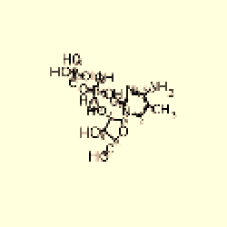 Cc1cn([C@@H]2O[C@H](CO)[C@@H](O)[C@H]2O)c(=O)nc1N.O=P(O)(O)O.O=P(O)(O)O